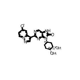 O=c1[nH]c2cnc(-c3cnn4ccc(Cl)cc34)nc2n1[C@@H]1CC[C@@H](O)[C@@H](O)C1